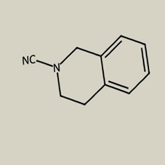 N#CN1CCc2ccccc2C1